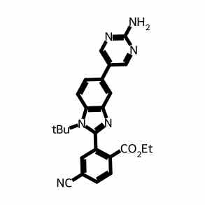 CCOC(=O)c1ccc(C#N)cc1-c1nc2cc(-c3cnc(N)nc3)ccc2n1C(C)(C)C